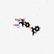 COC(=O)[C@]1(Cc2ccc(OCc3cc(C)nc4ccccc34)cc2)[C@@H](C(=O)NO)C1(C)C